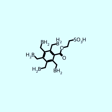 BCc1c(CB)c(CB)c(C(=O)OCCS(=O)(=O)O)c(CB)c1CB